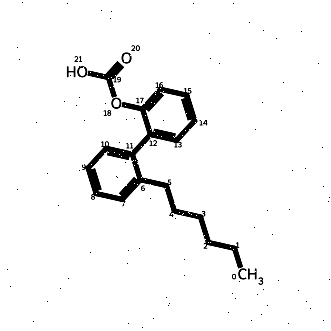 CCCCCCc1ccccc1-c1ccccc1OC(=O)O